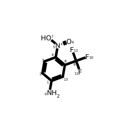 Nc1ccc([N+](=O)O)c(C(F)(F)F)c1